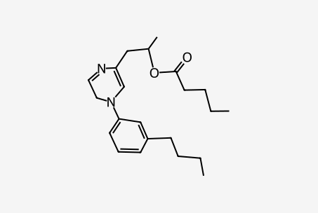 CCCCC(=O)OC(C)CC1=CN(c2cccc(CCCC)c2)CC=N1